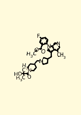 COC(=O)c1cc(F)ccc1-n1cc(CC2CCN(CC3CCN(C(=O)C(C)(C)O)CC3)C2)c2c(C)cncc21